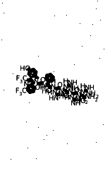 N=C(N)NC(NC(=O)C(NC(=N)N)NC(=O)C(NC(=N)N)NC(=O)C(NC(=N)N)NC(=O)C(NC(=O)C(O)N(Cc1ccc(O)cc1)c1cc(C(F)(F)F)nc2c(C(F)(F)F)cccc12)c1ccccc1)C(N)=O